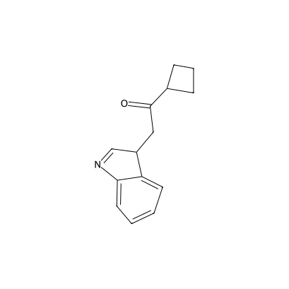 O=C(CC1C=Nc2ccccc21)C1CCC1